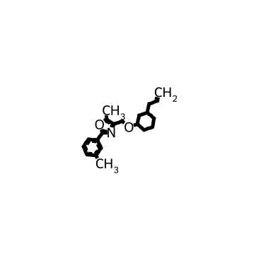 C=CCC1CCCC(OCc2nc(-c3cccc(C)c3)oc2C)C1